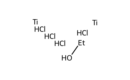 CCO.Cl.Cl.Cl.Cl.[Ti].[Ti]